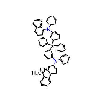 CC1(C)c2ccccc2-c2ccc(N(c3ccccc3)c3cccc([Si](c4ccccc4)(c4ccccc4)c4cccc(N(c5ccccc5)c5cccc6ccccc56)c4)c3)cc21